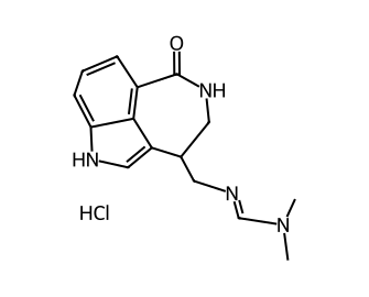 CN(C)C=NCC1CNC(=O)c2cccc3[nH]cc1c23.Cl